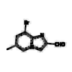 Cc1cc(Br)c2nc(C=O)cn2c1